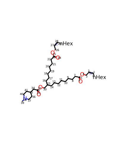 CCCCCC/C=C\COC(=O)CCCCCCCCC(CCCCCCCC(=O)OC/C=C\CCCCCC)COC(=O)CC1CCN(C)CC1